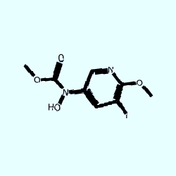 COC(=O)N(O)c1cnc(OC)c(I)c1